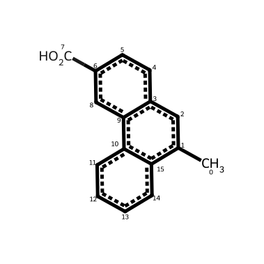 Cc1cc2ccc(C(=O)O)cc2c2ccccc12